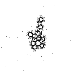 c1ccc(-c2nc(-c3ccc4c(c3)sc3ccccc34)nc(-c3ccccc3-n3c4cccc5c4c4c6c(cccc6ccc43)-c3ccccc3-5)n2)cc1